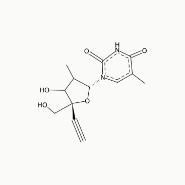 C#C[C@]1(CO)O[C@@H](n2cc(C)c(=O)[nH]c2=O)C(C)C1O